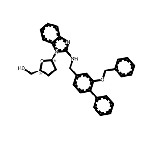 OC[C@@H]1CC[C@H](n2c(NCc3ccc(-c4ccccc4)c(OCc4ccccc4)c3)nc3ccccc32)O1